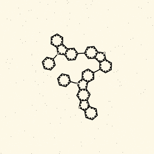 c1ccc(-n2c3ccccc3c3cc(-c4ccc5oc6cccc(-c7ccc8c(c7)c7cc9c(cc7n8-c7ccccc7)sc7ccccc79)c6c5c4)ccc32)cc1